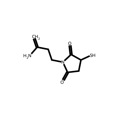 C=C(N)CCN1C(=O)CC(S)C1=O